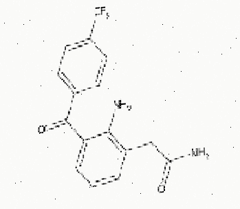 NC(=O)Cc1cccc(C(=O)c2ccc(C(F)(F)F)cc2)c1N